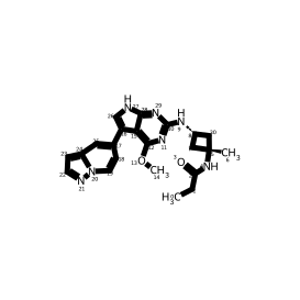 CCC(=O)N[C@]1(C)C[C@H](Nc2nc(OC)c3c(-c4ccn5nccc5c4)c[nH]c3n2)C1